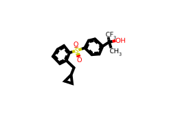 CC(O)(c1ccc(S(=O)(=O)c2ccccc2CC2CC2)cc1)C(F)(F)F